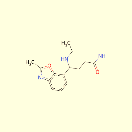 CCNC(CCC([NH])=O)c1cccc2nc(C)oc12